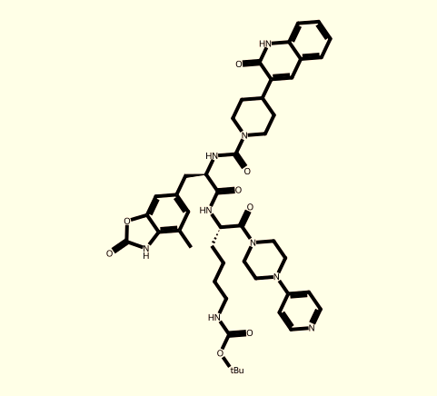 Cc1cc(C[C@@H](NC(=O)N2CCC(c3cc4ccccc4[nH]c3=O)CC2)C(=O)N[C@@H](CCCCNC(=O)OC(C)(C)C)C(=O)N2CCN(c3ccncc3)CC2)cc2oc(=O)[nH]c12